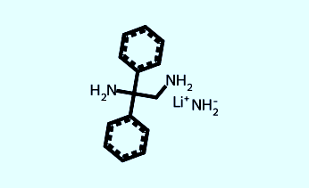 NCC(N)(c1ccccc1)c1ccccc1.[Li+].[NH2-]